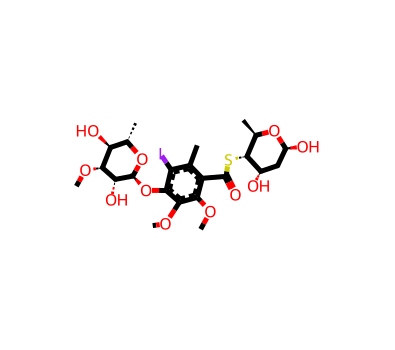 COc1c(O[C@@H]2O[C@@H](C)[C@H](O)[C@@H](OC)[C@H]2O)c(I)c(C)c(C(=O)S[C@H]2[C@@H](O)C[C@H](O)O[C@@H]2C)c1OC